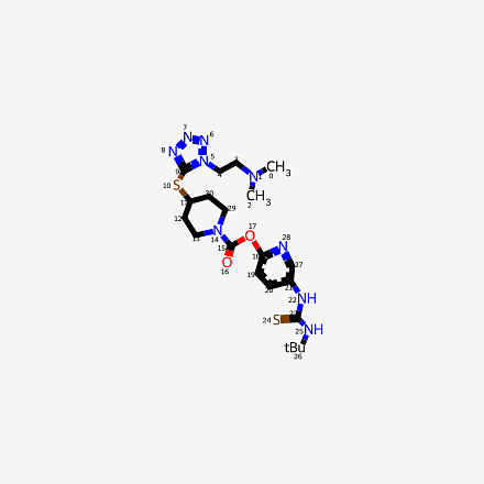 CN(C)CCn1nnnc1SC1CCN(C(=O)Oc2ccc(NC(=S)NC(C)(C)C)cn2)CC1